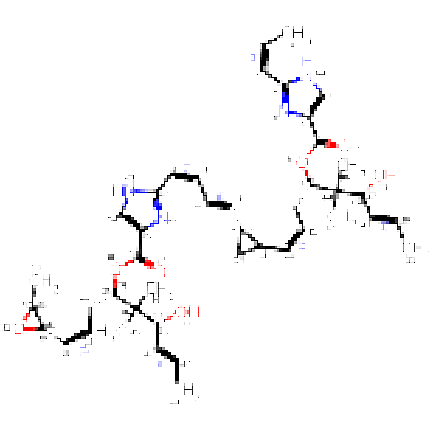 C/C=C\c1nc(C(=O)O[C@@H](C/C=C\C2C[C@@H]2/C=C/C=C\c2nc(C(=O)O[C@@H](C/C=C\[C@H]3O[C@H]3C)C(C)(C)[C@@H](O)/C=C/C)c[nH]2)C(C)(C)[C@@H](O)/C=C/C)c[nH]1